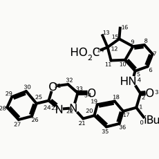 CCC(C)C(C(=O)Nc1cccc2c1CC(C)(C(=O)O)C2C)c1ccc(CN2N=C(c3ccccc3)OCC2=O)cc1